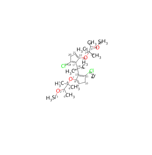 CC(O[SiH3])C(C)(C)OC1=CCC(Cl)=C1C(C)(C)C1=C(Cl)CC=C1OC(C)(C)C(C)O[SiH3].[Zr]